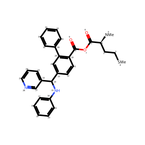 CN[C@@H](CCSC)C(=O)OC(=O)c1ccc(C(Nc2ccccc2)c2cccnc2)cc1-c1ccccc1